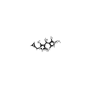 Cc1nn(C)c(Cl)c1C(O)c1c(C)nn(CC2CC2)c1Br